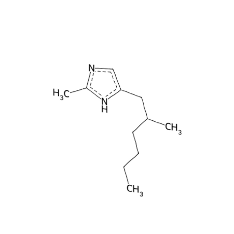 CCCCC(C)Cc1cnc(C)[nH]1